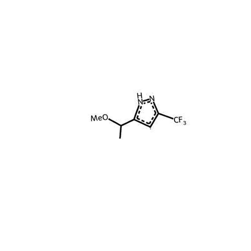 COC(C)c1[c]c(C(F)(F)F)n[nH]1